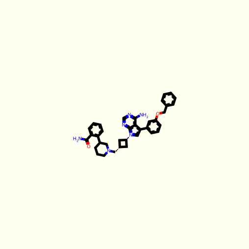 NC(=O)c1ccccc1C1CCCN(C[C@H]2C[C@@H](n3cc(-c4cccc(OCc5ccccc5)c4)c4c(N)ncnc43)C2)C1